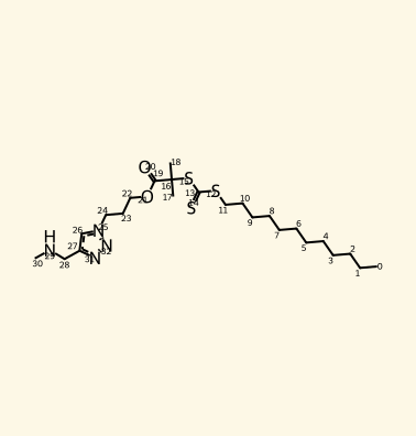 CCCCCCCCCCCCSC(=S)SC(C)(C)C(=O)OCCCn1cc(CNC)nn1